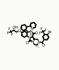 C[C@@H]1Cn2c(c(C(=O)NCc3ccccc3-c3ccccn3)n(-c3ccc(OC[C@@H](O)C(F)(F)F)cc3)c2=O)CN1C(=O)c1ccc(Br)c(C(F)(F)F)c1